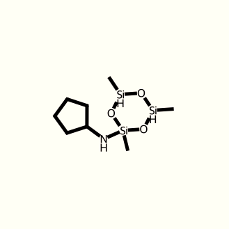 C[SiH]1O[SiH](C)O[Si](C)(NC2CCCC2)O1